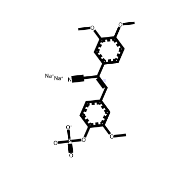 COc1ccc(/C(C#N)=C/c2ccc(OP(=O)([O-])[O-])c(OC)c2)cc1OC.[Na+].[Na+]